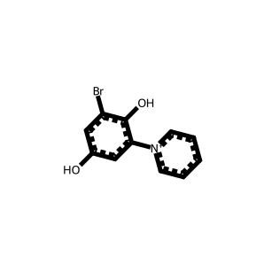 Oc1cc(Br)c(O)c(-[n+]2ccccc2)c1